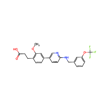 COc1cc(-c2ccc(NCc3cccc(OC(F)(F)F)c3)nc2)ccc1CCC(=O)O